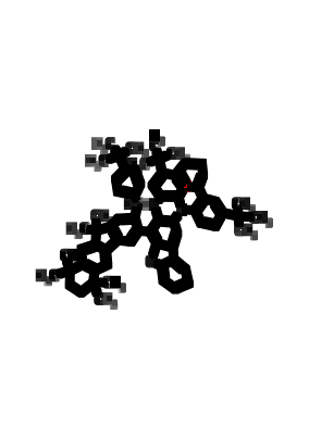 CC(C)(C)c1ccc(Nc2cc3c(cc2-c2c4c(cc5c2oc2ccccc25)N(c2ccc(C(C)(C)C)cc2-c2ccccc2)c2ccc(C(C)(C)C)cc2B4)-c2cc4c(cc2C3(C)C)C(C)(C)CCC4(C)C)cc1